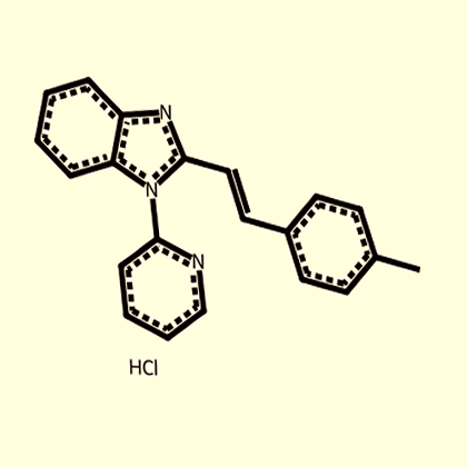 Cc1ccc(C=Cc2nc3ccccc3n2-c2ccccn2)cc1.Cl